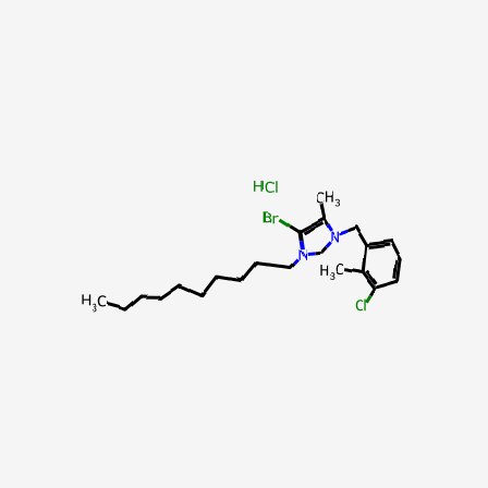 CCCCCCCCCCN1CN(Cc2cccc(Cl)c2C)C(C)=C1Br.Cl